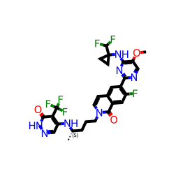 COc1cnc(-c2cc3ccn(CCC[C@H](C)Nc4cn[nH]c(=O)c4C(F)(F)F)c(=O)c3cc2F)nc1NC1(C(F)F)CC1